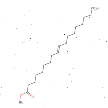 CC(C)(C)OC(=O)CCCCCCCC=CCCCCCCCC(=O)O